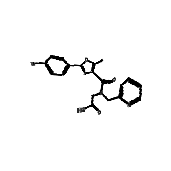 Cc1oc(-c2ccc(Br)cc2)nc1C(=O)N(CC(=O)O)Cc1ccccn1